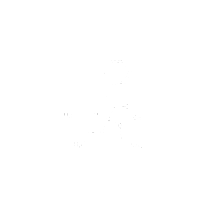 CCO[Si](OCC)(OCC)C(Cc1ccccc1)OC